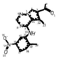 CC(=O)c1cn2ncnc(Nc3cc([N+](=O)[O-])ccc3C)c2c1C